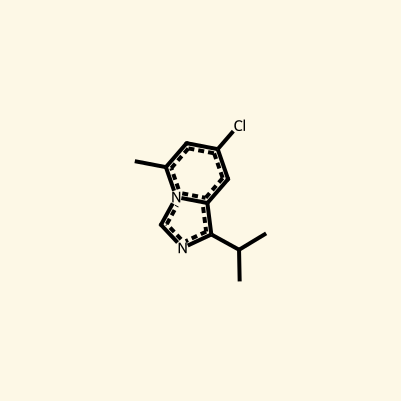 Cc1cc(Cl)cc2c(C(C)C)ncn12